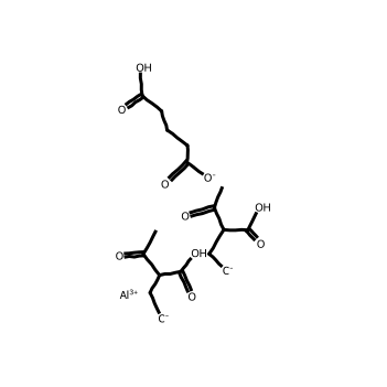 O=C([O-])CCCC(=O)O.[Al+3].[CH2-]CC(C(C)=O)C(=O)O.[CH2-]CC(C(C)=O)C(=O)O